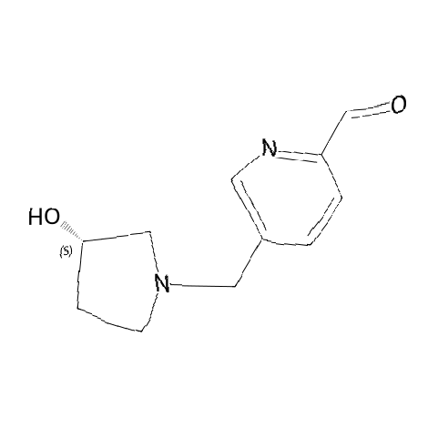 O=Cc1ccc(CN2CC[C@H](O)C2)cn1